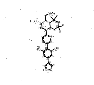 CSCC[C@H](NN(c1ccc(-c2c(O)cc(-c3cn[nH]c3)cc2O)nn1)C1CC(C)(C)NC(C)(C)C1)C(=O)O